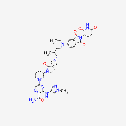 CCN(CCC(C)CN1CC2(CCN([C@@H]3CCCN(c4cnc(C(N)=O)c(Nc5cnn(C)c5)n4)C3)C2=O)C1)c1ccc2c(c1)C(=O)N(C1CCC(=O)NC1=O)C2=O